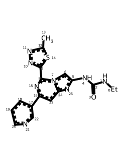 CCNC(=O)Nc1cn2c(-c3nnc(C)s3)nc(-c3cccnc3)cc2n1